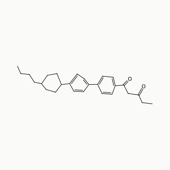 CCCCC1CCC(c2ccc(-c3ccc(C(=O)CC(=O)CC)cc3)cc2)CC1